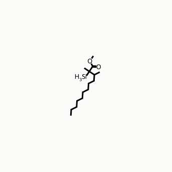 CCCCCCCCCC(C)C(C)([SiH3])C(=O)OC